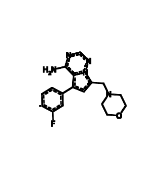 Nc1ncnn2c(CN3CCOCC3)cc(-c3cc[c]c(F)c3)c12